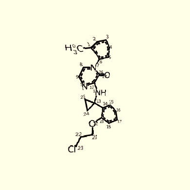 Cc1cc[c]cc1-n1ccnc(NC2(c3ccccc3OCCCl)CC2)c1=O